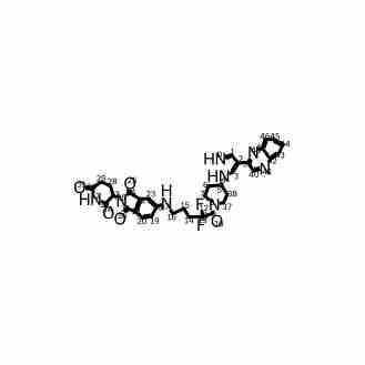 N=C/C(=C\NC1CCN(C(=O)C(F)(F)CCCNc2ccc3c(c2)C(=O)N(C2CCC(=O)NC2=O)C3=O)CC1)c1cnc2ccccc2n1